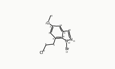 COc1cc(CCCl)c2c(cnn2Br)c1